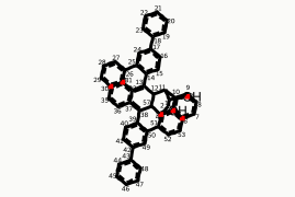 OC1C(O)C2c3ccccc3C1C1C(c3ccc(-c4ccccc4)cc3-c3ccccc3)=c3ccccc3=C(c3ccc(-c4ccccc4)cc3-c3ccccc3)C12